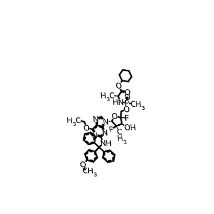 CCOc1nc(NC(c2ccccc2)(c2ccccc2)c2ccc(OC)cc2)nc2c1ncn2[C@@H]1O[C@](F)(COP(C)(=O)N[C@@H](C)C(=O)OC2CCCCC2)[C@@H](O)[C@@]1(C)F